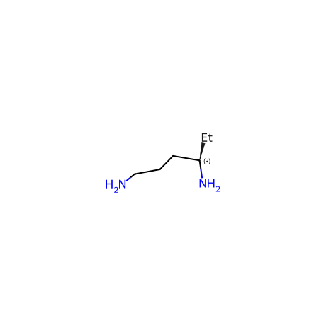 CC[C@@H](N)CCCN